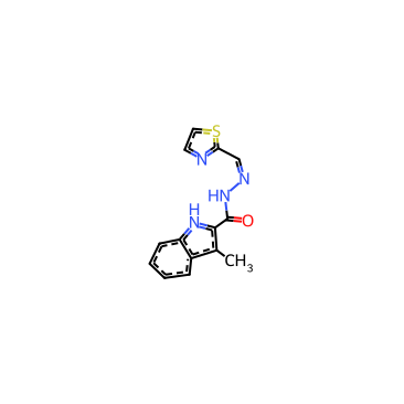 Cc1c(C(=O)N/N=C\c2nccs2)[nH]c2ccccc12